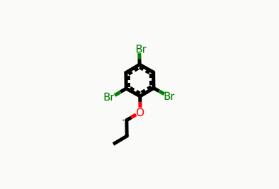 CC[CH]Oc1c(Br)cc(Br)cc1Br